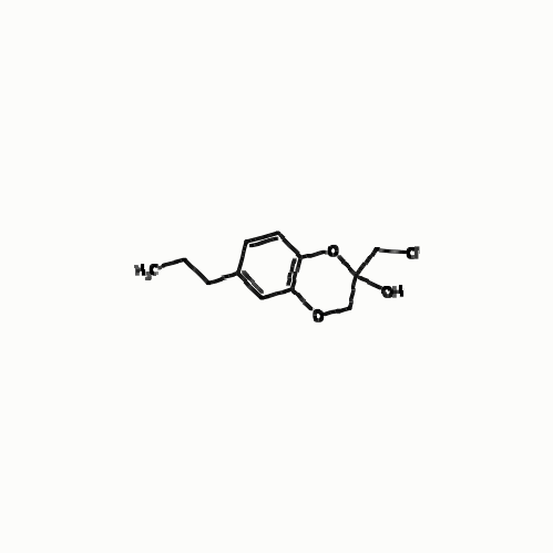 CCCc1ccc2c(c1)OCC(O)(CCl)O2